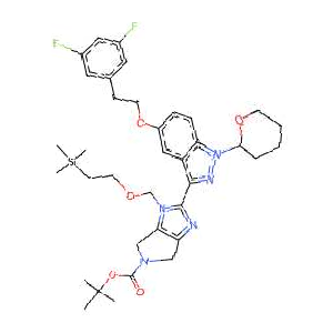 CC(C)(C)OC(=O)N1Cc2nc(-c3nn(C4CCCCO4)c4ccc(OCCc5cc(F)cc(F)c5)cc34)n(COCC[Si](C)(C)C)c2C1